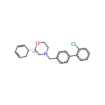 Clc1ccccc1-c1ccc(CN2CCO[C@@H](C3C=CC=CC3)C2)cc1